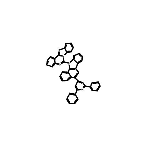 c1ccc(-c2cc(-c3cc4c5ccccc5n(-c5nc6ccccc6c6nc7ccccc7n56)c4c4ccccc34)cc(-c3ccccc3)n2)cc1